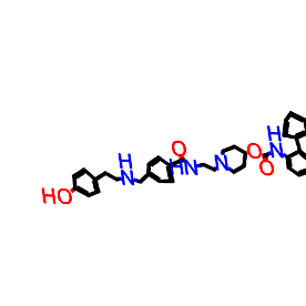 O=C(Nc1ccccc1-c1ccccc1)OC1CCN(CCNC(=O)c2ccc(CNCCc3ccc(O)cc3)cc2)CC1